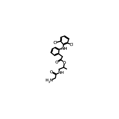 CC(CNC(=O)CN)OC(=O)Cc1ccccc1Nc1c(Cl)cccc1Cl